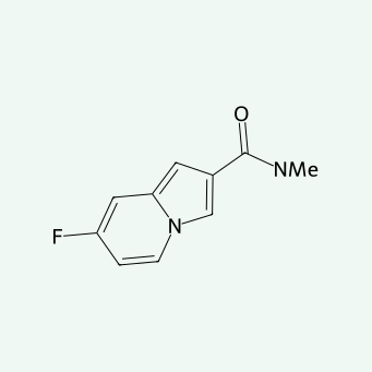 CNC(=O)c1cc2cc(F)ccn2c1